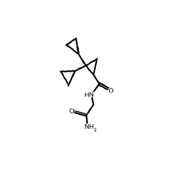 NC(=O)CNC(=O)C1CC1(C1CC1)C1CC1